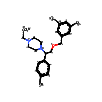 N#Cc1ccc(C(COCc2cc(C(F)(F)F)cc(C(F)(F)F)c2)N2CCN(CC(=O)O)CC2)cc1